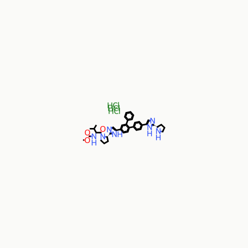 COC(=O)N[C@H](C(=O)N1CCC[C@H]1c1ncc(-c2ccc(-c3ccc(-c4cnc([C@@H]5CCCN5)[nH]4)cc3)c(-c3ccccc3)c2)[nH]1)C(C)C.Cl.Cl.Cl